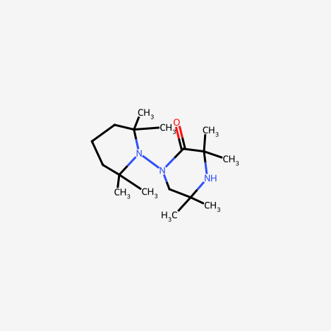 CC1(C)CN(N2C(C)(C)CCCC2(C)C)C(=O)C(C)(C)N1